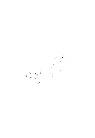 CC(=O)Oc1cc2ccccc2cc1C(=O)NS(=O)(=O)OC[C@H]1O[C@@H](n2cnc3c(N)ncnc32)[C@H](OC(C)=O)[C@@H]1OC(C)=O